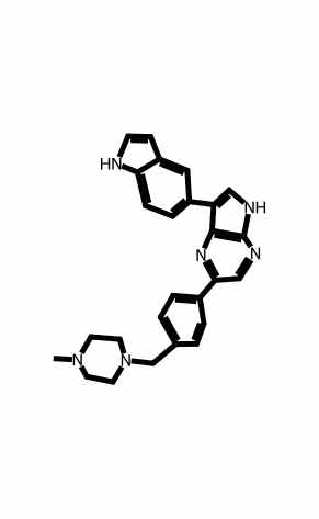 CN1CCN(Cc2ccc(-c3cnc4[nH]cc(-c5ccc6[nH]ccc6c5)c4n3)cc2)CC1